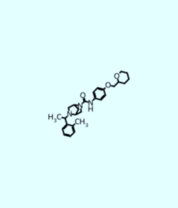 Cc1ccccc1C(C)N1CC2CC1CN2C(=O)Nc1ccc(OCC2CCCCO2)cc1